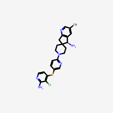 N#Cc1cnc2c(c1)[C@@H](N)C1(CCN(c3ccc(Sc4ccnc(N)c4Cl)cn3)CC1)C2